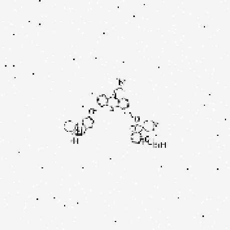 Br.CC(CN1c2ccccc2Sc2ccccc21)N(C)C.CCOC(=O)C1(c2ccccc2)CCN(C)CC1.COc1ccc2c(c1)[C@]13CCCC[C@@H]1[C@H](C2)N(C)CC3.Cl.Cl